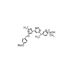 COc1ccc(COc2cc(-c3cc(C(C)c4ccc(C(C)(C)O)cc4)ncn3)nc(C)n2)cc1